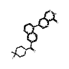 O=C(c1ccc2c(-c3cnc4c(=O)[nH]ncc4c3)cccc2c1)N1CCC(F)(F)CC1